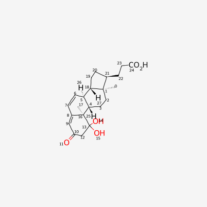 C[C@]12CC[C@H]3[C@@H](C=CC4=CC(=O)CC(O)(O)[C@@]43C)[C@@H]1CC[C@H]2CCC(=O)O